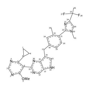 COc1ncnc(C2CC2)c1-c1ncc2[nH]cc(Cc3ccc(-c4nc(C(C)(F)F)cn4C)c(C)c3)c2n1